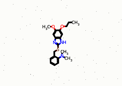 CCCOc1cc2[nH]c(SCc3ccccc3N(C)C)nc2cc1OC